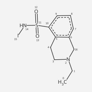 CCN1CCc2c(cccc2S(=O)(=O)NI)C1